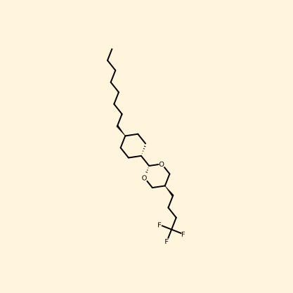 CCCCCCCC[C@H]1CC[C@H]([C@H]2OC[C@H](CCCC(F)(F)F)CO2)CC1